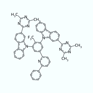 Cc1nc(C)nc(-c2ccc3c4ccccc4n(-c4cc(-c5cccc(-c6ccccc6)n5)cc(-n5c6ccccc6c6ccc(-c7nc(C)nc(C)n7)cc65)c4C(F)(F)F)c3c2)n1